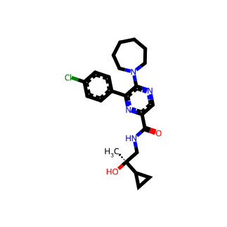 C[C@](O)(CNC(=O)c1cnc(N2CCCCCC2)c(-c2ccc(Cl)cc2)n1)C1CC1